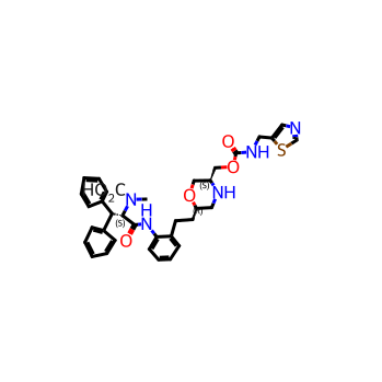 CN(C(=O)O)[C@H](C(=O)Nc1ccccc1CC[C@@H]1CN[C@H](COC(=O)NCc2cncs2)CO1)C(c1ccccc1)c1ccccc1